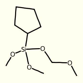 COCO[Si](OC)(OC)C1CCCC1